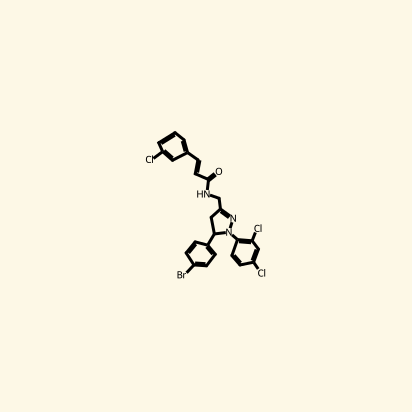 O=C(/C=C/c1cccc(Cl)c1)NCC1=NN(c2ccc(Cl)cc2Cl)C(c2ccc(Br)cc2)C1